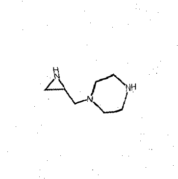 C1CN(CC2CN2)CCN1